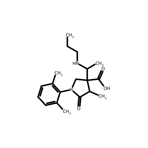 CCCNC(C)C1(C(=O)O)CN(c2c(C)cccc2C)C(=O)C1C